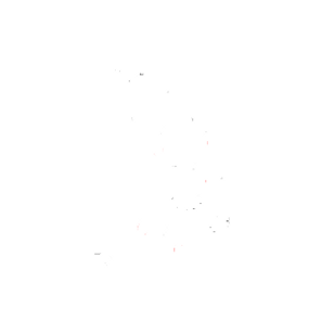 CCOC(=O)C=C(C)OC1=COC(C2=CC=CCC2)=CO1